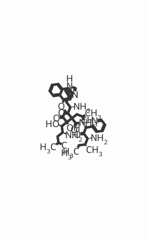 CC[C@@H](C)[C@@H](N)C(=O)C(NC(=O)C(CC(C)C)(C(=O)[C@@H](N)Cc1c[nH]cn1)C(O)(C(=O)COc1cccc2ccccc12)[C@H](O)[C@@H](N)CC(C)C)c1ccccn1